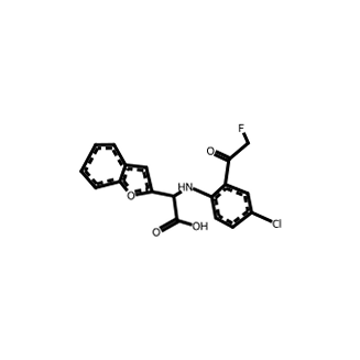 O=C(CF)c1cc(Cl)ccc1NC(C(=O)O)c1cc2ccccc2o1